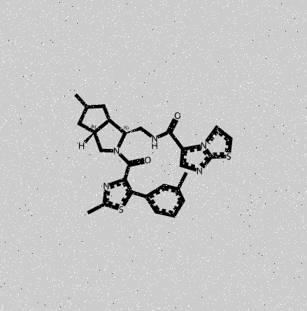 Cc1cccc(-c2sc(C)nc2C(=O)N2C[C@@H]3CC(C)CC3[C@H]2CNC(=O)c2cnc3sccn23)c1